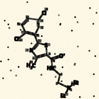 CCN(CC)CCNC(=O)c1sc(-c2cc(Cl)ccc2Cl)nc1C